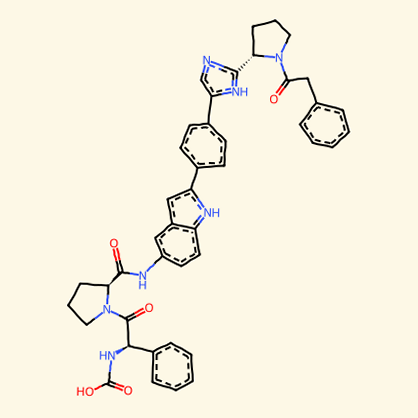 O=C(O)N[C@@H](C(=O)N1CCC[C@H]1C(=O)Nc1ccc2[nH]c(-c3ccc(-c4cnc([C@@H]5CCCN5C(=O)Cc5ccccc5)[nH]4)cc3)cc2c1)c1ccccc1